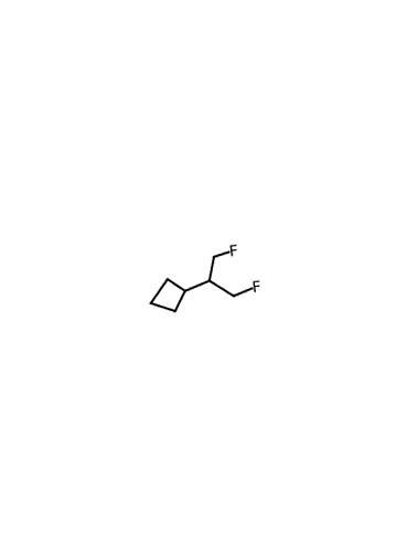 FCC(CF)C1CCC1